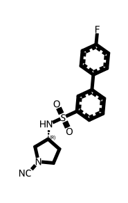 N#CN1CC[C@@H](NS(=O)(=O)c2cccc(-c3ccc(F)cc3)c2)C1